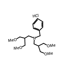 COCC(COC)CN(Cc1ccccc1)CC(COC)COC.Cl